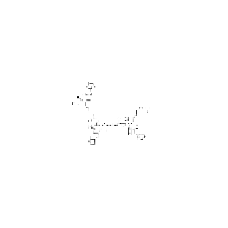 O=C(O)CCCCC(NC(=O)Cc1cccs1)B(O)OC(=O)CCCCC(NC(=O)Cc1cccs1)B(O)OC(=O)CCCCC(NC(=O)Cc1cccs1)B(O)O